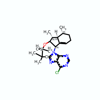 C[C@@H]1CCC=C2[C@H]1[C@@H](C)C(O[Si](C)(C)C(C)(C)C)[C@@H]2n1cnc2c(Cl)ncnc21